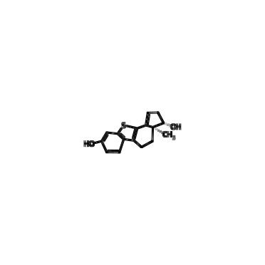 C[C@]12CCc3c(sc4cc(O)ccc34)C1=CC[C@@H]2O